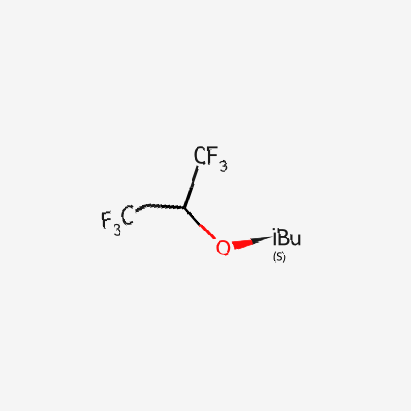 CC[C@H](C)OC(C(F)(F)F)C(F)(F)F